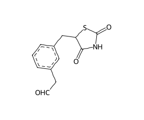 O=CCc1cccc(CC2SC(=O)NC2=O)c1